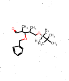 CC(C=O)C(OCc1ccccc1)C(C)CO[Si](C)(C)C(C)(C)C